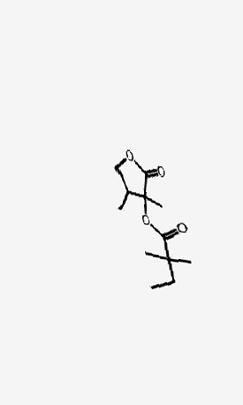 CCC(C)(C)C(=O)OC1(C)C(=O)OCC1C